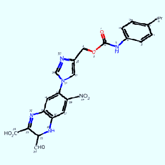 CC(C)c1ccc(NC(=O)OCc2cn(-c3cc4c(cc3[N+](=O)[O-])NC(C=O)C(C(=O)O)=N4)cn2)cc1